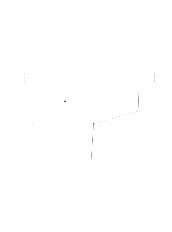 [CH2]C(CO)C(C)(C)O